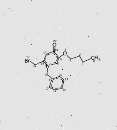 CCCCOc1cn(Cc2ccccc2)c(CBr)cc1=O